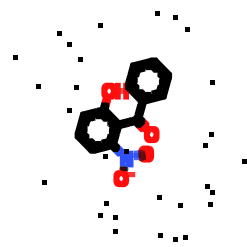 O=C(c1ccccc1)c1c(O)cccc1[N+](=O)[O-]